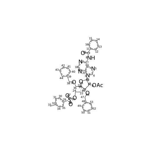 CC(=O)O[C@H]1[C@H](n2cnc3c(NC(=O)c4ccccc4)ncnc32)O[C@](CCOS(=O)(=O)c2ccc(C)cc2)(COCc2ccccc2)[C@H]1OCc1ccccc1